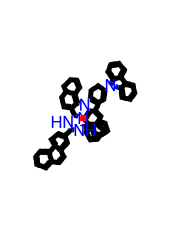 C1=CCC2C=c3c4c(n(C5=C6C=CCCC6CC=C5C5N=C(c6ccccc6)NC(c6ccc7c(ccc8ccccc87)c6)N5)c3=CC2=C1)CCC(n1c2ccccc2c2ccccc21)=C4